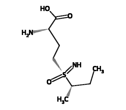 CC[C@H](C)[S@](=N)(=O)CC[C@H](N)C(=O)O